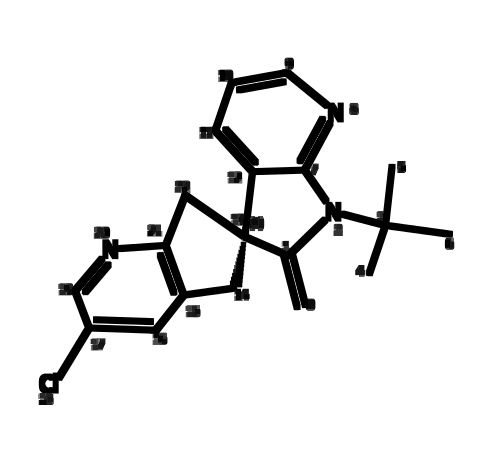 C=C1N(C(C)(C)C)c2ncccc2[C@@]12Cc1cc(Cl)cnc1C2